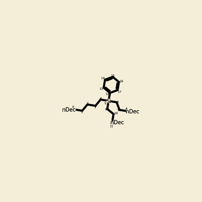 CCCCCCCCCCCCCC[Si](CCCCCCCCCCCC)(CCCCCCCCCCCC)c1ccccc1